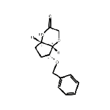 O=C1CO[C@H]2[C@H](CC[C@H]2OCc2ccccc2)N1